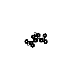 c1ccc(-n2c3ccccc3c3ccc(N(c4ccc(-c5cc6c7ccccc7oc6c6ccccc56)cc4)c4cccc5oc6ccccc6c45)cc32)cc1